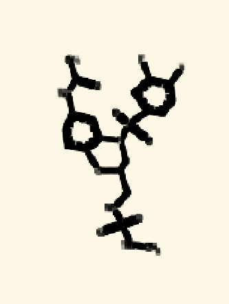 CNS(=O)(=O)NCC1CN(S(=O)(=O)c2ccc(F)c(F)c2)c2cc(NC(=O)O)ccc2O1